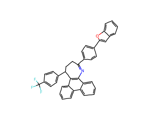 FC(F)(F)c1ccc(C2CCC(c3ccc(-c4cc5ccccc5o4)cc3)=Nc3c2c2ccccc2c2ccccc32)cc1